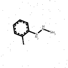 Cc1ccccc1[SiH2]N[SiH3]